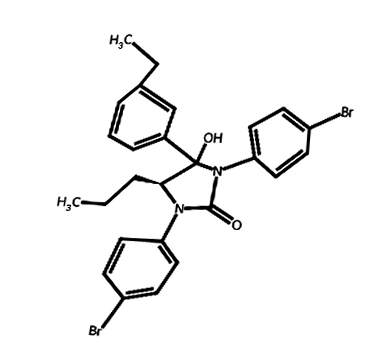 CCC[C@@H]1N(c2ccc(Br)cc2)C(=O)N(c2ccc(Br)cc2)C1(O)c1cccc(CC)c1